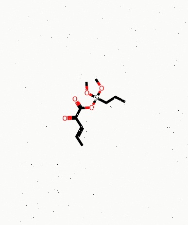 CC=CC(=O)C(=O)O[Si](CCC)(OC)OC